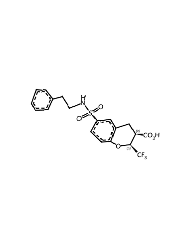 O=C(O)[C@@H]1Cc2cc(S(=O)(=O)NCCc3ccccc3)ccc2O[C@@H]1C(F)(F)F